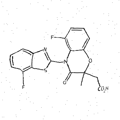 CC1(CC(=O)O)Oc2cccc(F)c2N(c2nc3cccc(F)c3s2)C1=O